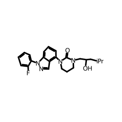 CC(C)CC(O)CN1CCCN(c2cccc3c2cnn3-c2ccccc2F)C1=O